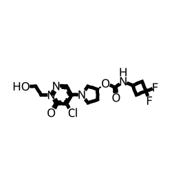 O=C(NC1CC(F)(F)C1)O[C@@H]1CCN(c2cnn(CCO)c(=O)c2Cl)C1